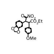 CCOC(=O)C(c1ccc(OC)cc1)C(C(=O)[N+](=O)[O-])c1ccc2c(c1)OCO2